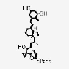 C=C1/C(=C\C=C2/CCC[C@]3(C)[C@@H]([C@H](C)/C=C/[C@@H](O)C4(c5ncc(CCCCC)o5)CC4)CC[C@@H]23)C[C@@H](O)C[C@@H]1O